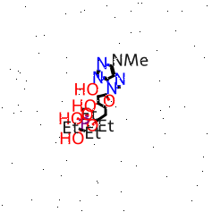 CCC(CC)(CC1O[C@@H](n2cnc3c(NC)ncnc32)[C@H](O)[C@@H]1O)OP(=O)(O)C(O)(CC)CC